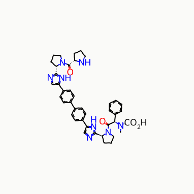 CN(C(=O)O)[C@@H](C(=O)N1CCC[C@H]1c1ncc(-c2ccc(-c3ccc(-c4cnc([C@@H]5CCCN5C(=O)[C@@H]5CCCN5)[nH]4)cc3)cc2)[nH]1)c1ccccc1